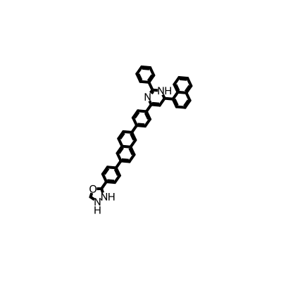 C1=C(c2ccc(-c3ccc4cc(-c5ccc(C6NNCO6)cc5)ccc4c3)cc2)N=C(c2ccccc2)NC1c1cccc2ccccc12